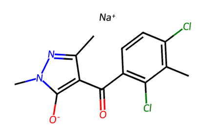 Cc1nn(C)c([O-])c1C(=O)c1ccc(Cl)c(C)c1Cl.[Na+]